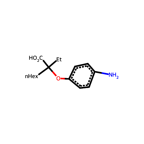 CCCCCCC(CC)(Oc1ccc(N)cc1)C(=O)O